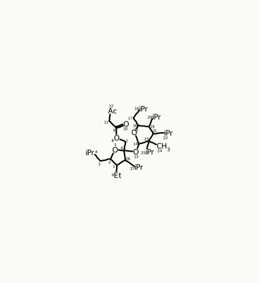 CCC1C(CC(C)C)OC(COC(=O)CC(C)=O)(OC2OC(CC(C)C)C(C(C)C)C(C(C)C)C2(C)C(C)C)C1C(C)C